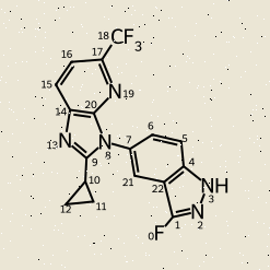 Fc1n[nH]c2ccc(-n3c(C4CC4)nc4ccc(C(F)(F)F)nc43)cc12